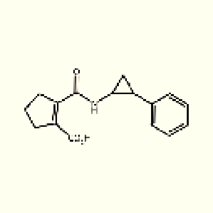 O=C(O)C1=C(C(=O)NC2CC2c2ccccc2)CCC1